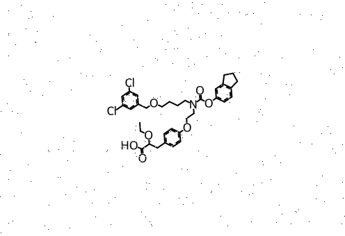 CCOC(Cc1ccc(OCCN(CCCCOCc2cc(Cl)cc(Cl)c2)C(=O)Oc2ccc3c(c2)CCC3)cc1)C(=O)O